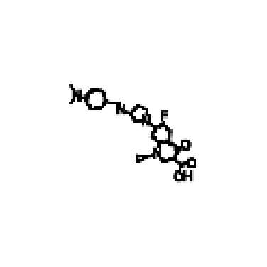 CN(C)c1ccc(C=NC2CCN(c3cc4c(cc3F)c(=O)c(C(=O)O)cn4C3CC3)C2)cc1